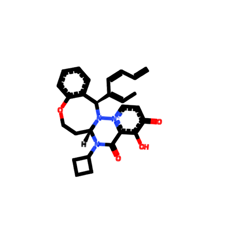 C=C/C=C\C(=C/C)[C@@H]1c2ccccc2OCC[C@H]2N(C3CCC3)C(=O)c3c(O)c(=O)ccn3N12